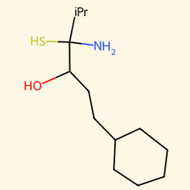 CC(C)C(N)(S)C(O)CCC1CCCCC1